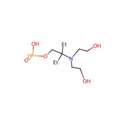 CCC(CC)(CO[PH](=O)O)N(CCO)CCO